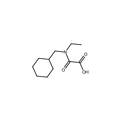 CCN(CC1CCCCC1)C(=O)C(=O)O